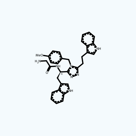 COc1ccc(Cn2c(CCc3c[nH]c4ccccc34)nnc2[C@@H](Cc2c[nH]c3ccccc23)NC(=O)CN)cc1